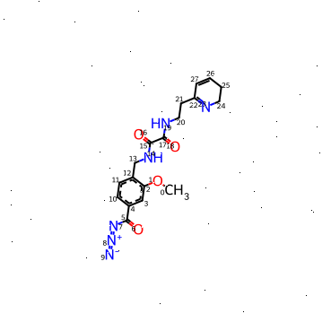 COc1cc(C(=O)N=[N+]=[N-])ccc1CNC(=O)C(=O)NCCC1=NCCC=C1